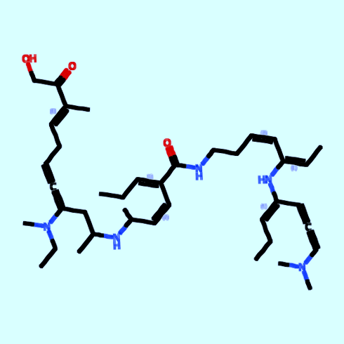 C/C=C(\C=C/CCNC(=O)C(/C=C\C(C)NC(C)CC(=C=CC/C=C(\C)C(=O)CO)N(C)CC)=C/CC)N/C(C=C=CN(C)C)=C/CC